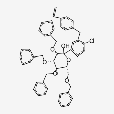 C=Cc1ccc(Cc2cc(C3(O)O[C@H](COCc4ccccc4)[C@@H](OCc4ccccc4)[C@H](OCc4ccccc4)[C@H]3OCc3ccccc3)ccc2Cl)cc1